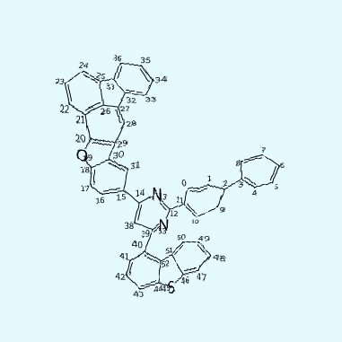 C1=CC(c2ccccc2)CC=C1c1nc(-c2ccc3oc4c5cccc6c5c(cc4c3c2)-c2ccccc2-6)cc(-c2cccc3sc4ccccc4c23)n1